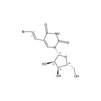 O=c1[nH]c(=O)n([C@@H]2O[C@H](CO)[C@@H](O)[C@H]2O)cc1/C=C/Br